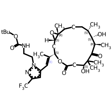 C/C(=C\c1cc(C(F)(F)F)nn1CCNC(=O)OC(C)(C)C)[C@@H]1C[C@@H]2O[C@]2(C)CCC[C@H](C)[C@H](O)[C@@H](C)C(=O)C(C)(C)[C@@H](O)CC(=O)O1